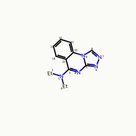 CCN(CC)c1nc2nncn2c2ccccc12